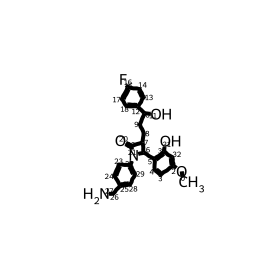 COc1ccc(C2C(CCC(O)c3ccc(F)cc3)C(=O)N2c2ccc(CN)cc2)c(O)c1